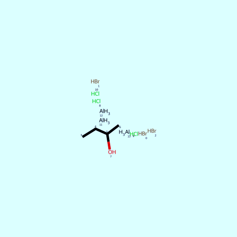 Br.Br.Br.CCC(C)O.Cl.Cl.Cl.[AlH3].[AlH3].[AlH3]